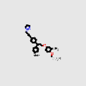 CSc1ccc(/C(=C\COc2ccc(OCC(=O)O)c(C)c2)c2ccc(C#CCn3cccn3)cc2)cc1